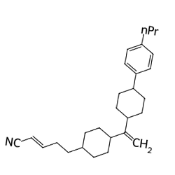 C=C(C1CCC(CCC=CC#N)CC1)C1CCC(c2ccc(CCC)cc2)CC1